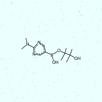 CN(C)c1ncc(B(O)OC(C)(C)C(C)(C)O)cn1